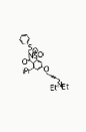 CCN(CC)CC#CCOc1cc(C(C)C)c2c(c1)S(=O)(=O)N(CSc1ccccc1)C2=O